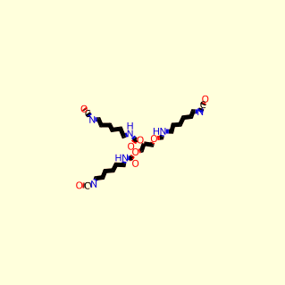 O=C=NCCCCCCNCOCC(COC(=O)NCCCCCCN=C=O)OC(=O)NCCCCCCN=C=O